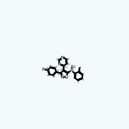 CC(=O)N(c1ccccc1C)c1onc(-c2ccc(F)cc2)c1-c1ccncn1